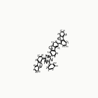 c1ccc(-c2nc(-c3ccc4c(c3)oc3ccc(-c5cccc6c5oc5ccccc56)cc34)nc(-c3cccc4c3oc3ccccc34)n2)cc1